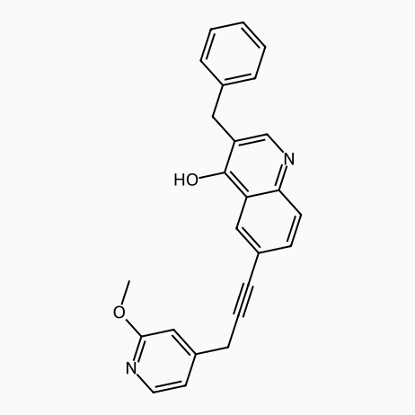 COc1cc(CC#Cc2ccc3ncc(Cc4ccccc4)c(O)c3c2)ccn1